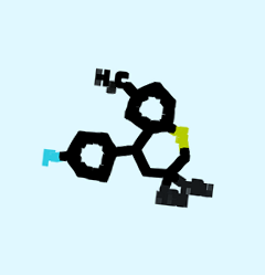 CCCCC1(CCCC)CSc2ccc(C)cc2C(c2ccc(F)cc2)C1